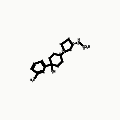 Cc1cccc(C2(C#N)CCC(N3CC[C@H](NC(=O)O)C3)CC2)c1